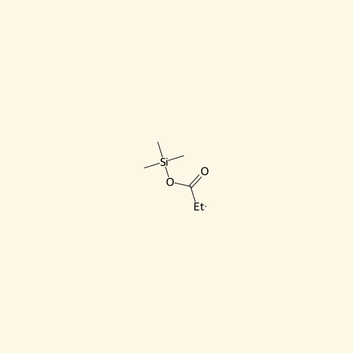 C[CH]C(=O)O[Si](C)(C)C